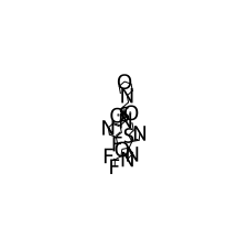 O=S(=O)(CCN1CCOCC1)N(Cc1ncc(-c2nnc(C(F)F)o2)s1)c1cncc(F)c1